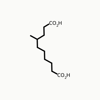 CC(CCCCCC(=O)O)CCC(=O)O